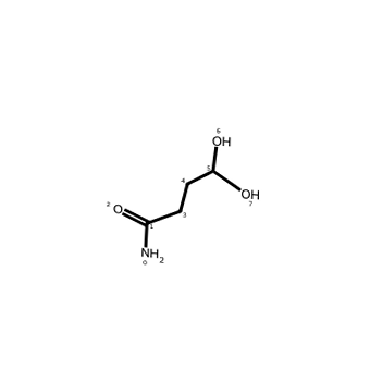 NC(=O)CCC(O)O